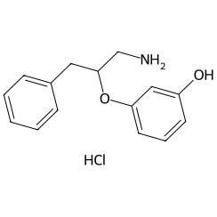 Cl.NCC(Cc1ccccc1)Oc1cccc(O)c1